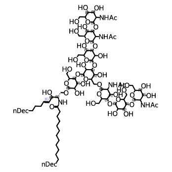 CCCCCCCCCCCCC/C=C/[C@@H](O)[C@H](CO[C@@H]1OC(CO)[C@@H](O[C@@H]2OC(CO[C@@H]3OC(CO)[C@@H](O[C@@H]4OC(CO)[C@H](O[C@@H]5OC(CO)[C@H](O)[C@H](O)C5NC(C)=O)[C@H](O)C4O)[C@H](O)C3NC(C)=O)[C@H](O)[C@H](O[C@H]3OC(CO)[C@H](O)[C@H](O[C@@H]4OC(CO)[C@H](O)[C@H](O[C@H]5OC(CO)[C@H](O)[C@H](O)C5NC(C)=O)C4NC(C)=O)C3O)C2O)[C@H](O)C1O)NC(=O)CCCCCCCCCCCCCCCCCCCCC